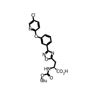 CC(C)(C)OC(=O)N[C@@H](Cc1nc(-c2cccc(Oc3ccc(Cl)cn3)c2)no1)C(=O)O